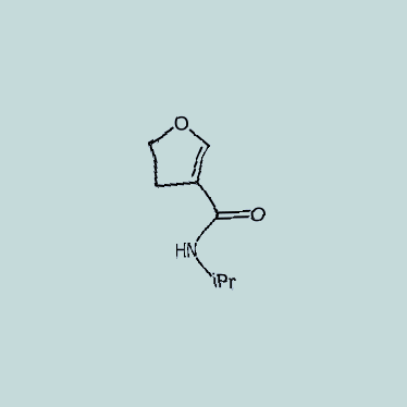 CC(C)NC(=O)C1=COCC1